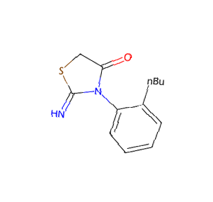 CCCCc1ccccc1N1C(=N)SCC1=O